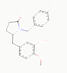 COc1ccc(CC2CCC(=O)N2Cc2ccc(Cl)cc2)cc1O